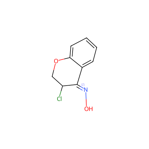 O/N=C1/c2ccccc2OCC1Cl